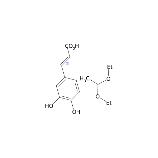 CCOC(C)OCC.O=C(O)/C=C/c1ccc(O)c(O)c1